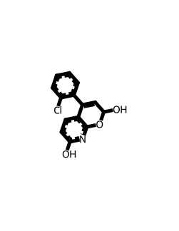 Oc1ccc2c(n1)OC(O)C=C2c1ccccc1Cl